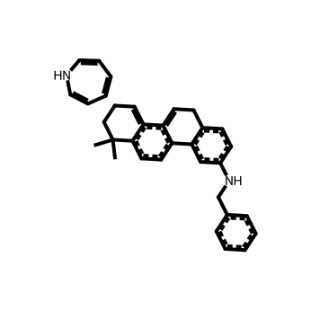 C1=CC=CNC=C1.CC1(C)CCC=c2c1ccc1c2=CCc2ccc(NCc3ccccc3)cc2-1